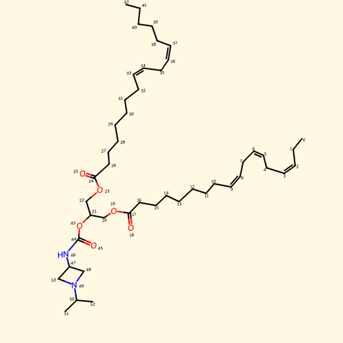 CC/C=C\C/C=C\C/C=C\CCCCCCCC(=O)OCC(COC(=O)CCCCCCC/C=C\C/C=C\CCCCC)OC(=O)NC1CN(C(C)C)C1